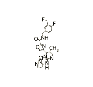 Cc1cnc(Nc2ccnn2C)nc1-c1coc(C(=O)NCc2ccc(F)c(CF)c2)n1